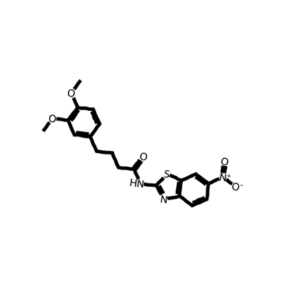 COc1ccc(CCCC(=O)Nc2nc3ccc([N+](=O)[O-])cc3s2)cc1OC